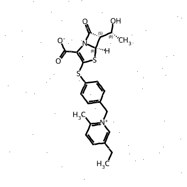 CCc1ccc(C)[n+](Cc2ccc(SC3=C(C(=O)[O-])N4C(=O)[C@H]([C@@H](C)O)[C@H]4S3)cc2)c1